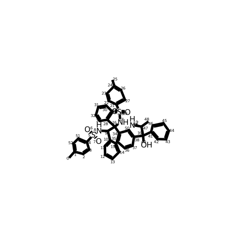 Cc1ccc(S(=O)(=O)NC(c2ccccc2)C(NS(=O)(=O)c2ccc(C)cc2)(c2ccccc2)c2cccc(C(O)(c3ccccc3)C(C)N)c2)cc1